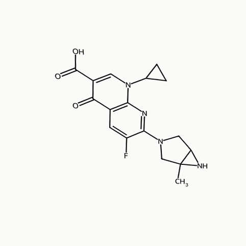 CC12CN(c3nc4c(cc3F)c(=O)c(C(=O)O)cn4C3CC3)CC1N2